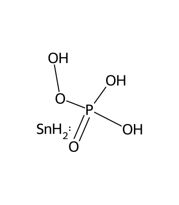 O=P(O)(O)OO.[SnH2]